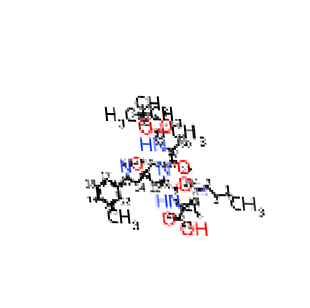 CCC/C=C\[C@@H]1C[C@]1(NC(=O)[C@@H]1C[C@]2(CC(c3cccc(C)c3)=NO2)CN1C(=O)[C@H](CC)NC(=O)OC(C)(C)C)C(=O)O